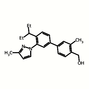 CCC(CC)c1ccc(-c2ccc(CO)c(C)c2)cc1-n1ccc(C)n1